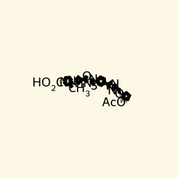 CC(=O)O[C@H]1CCC[C@@H]1OCc1ncc(-c2ccc3nc(NC(=O)C4CC(N5CCN(C(=O)O)CC5C)C4)sc3c2)cn1